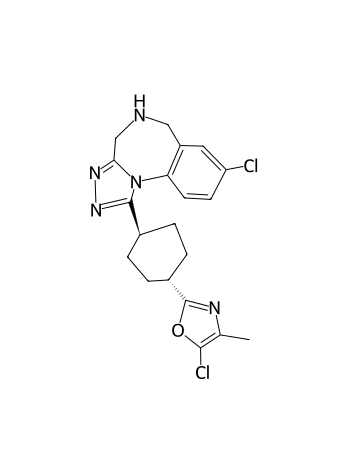 Cc1nc([C@H]2CC[C@H](c3nnc4n3-c3ccc(Cl)cc3CNC4)CC2)oc1Cl